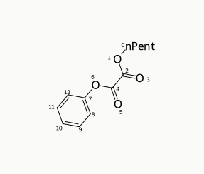 CCCCCOC(=O)C(=O)Oc1ccccc1